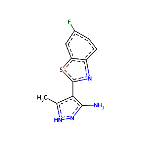 Cc1[nH]nc(N)c1-c1nc2ccc(F)cc2s1